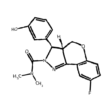 CN(C)C(=O)N1N=C2c3cc(F)ccc3OC[C@H]2[C@@H]1c1cccc(O)c1